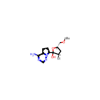 CCCCOC[C@@H]1C[C@@H](CC)C(O)(c2ccc3c(N)ncnn23)O1